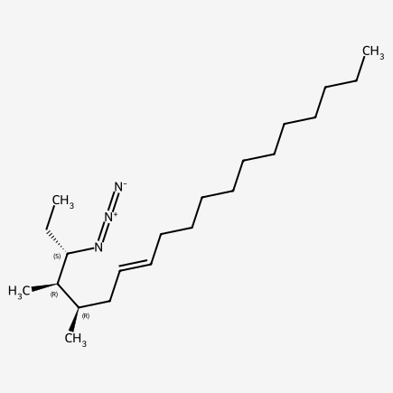 CCCCCCCCCCCC=CC[C@@H](C)[C@@H](C)[C@H](CC)N=[N+]=[N-]